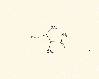 CC(=O)OC(C(N)=O)C(OC(C)=O)C(=O)O